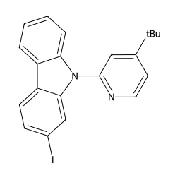 CC(C)(C)c1ccnc(-n2c3ccccc3c3ccc(I)cc32)c1